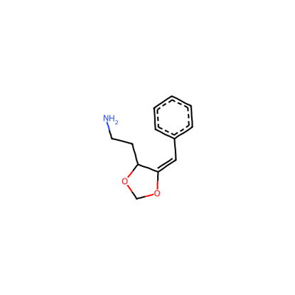 NCCC1OCOC1=Cc1ccccc1